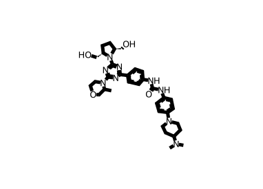 CC1COCCN1c1nc(-c2ccc(NC(=O)Nc3ccc(N4CCC(N(C)C)CC4)cc3)cc2)nc(N2[C@H](CO)CC[C@@H]2CO)n1